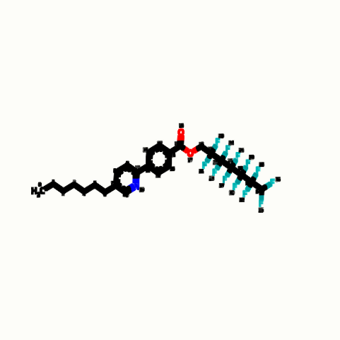 CCCCCCCc1ccc(-c2ccc(C(=O)OCC(F)(F)C(F)(F)C(F)(F)C(F)(F)C(F)(F)C(F)F)cc2)nc1